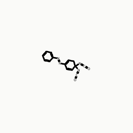 O=C=NC1(N=C=O)C=CC(N=Nc2ccccc2)=CC1